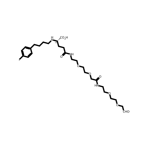 O=[C]COCCOCCNC(=O)COCCOCCNC(=O)CC[C@H](NCCCCc1ccc(I)cc1)C(=O)O